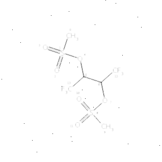 CS(=O)(=O)OC(C(OS(C)(=O)=O)C(F)(F)F)C(F)(F)F